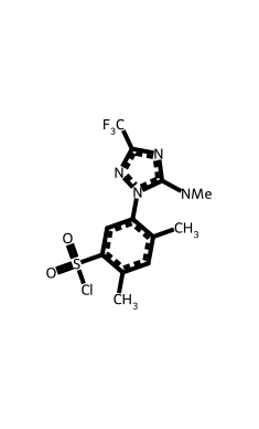 CNc1nc(C(F)(F)F)nn1-c1cc(S(=O)(=O)Cl)c(C)cc1C